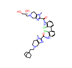 Cn1c(C(=O)Nc2cccc(-c3cccc(NC(=O)c4nc5c(n4C)CCN(C[C@@H](O)CO)C5)c3Cl)c2Cl)nc2c1CCN(CCC13CCC(CC1)C3)C2